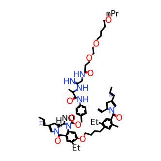 C=CC1CC(/C=C/C)=CN1C(=O)c1cc(CC)c(CCCCOc2cc3c(cc2CC)C(=O)N2C=C(/C=C/C)C[C@@H]2C(N=O)N3C(=O)OCc2ccc(NC(=O)C(C)NC(=N)CNC(=O)CCOCCOCCCCCOCCC)cc2)cc1C